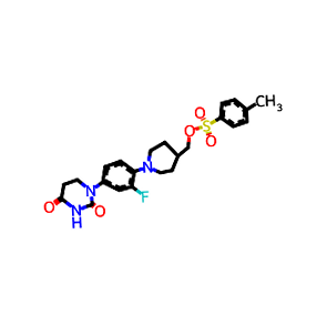 Cc1ccc(S(=O)(=O)OCC2CCN(c3ccc(N4CCC(=O)NC4=O)cc3F)CC2)cc1